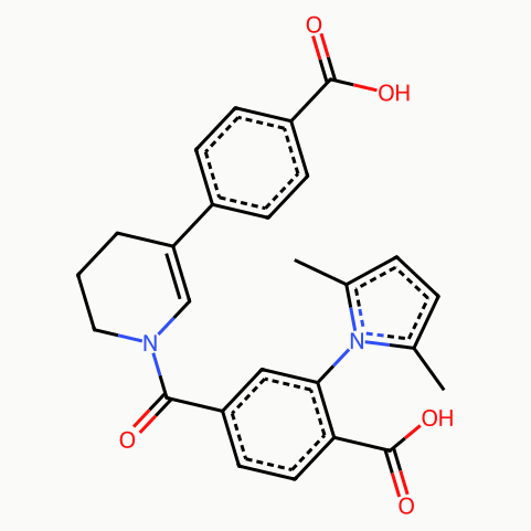 Cc1ccc(C)n1-c1cc(C(=O)N2C=C(c3ccc(C(=O)O)cc3)CCC2)ccc1C(=O)O